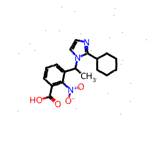 CC(c1cccc(C(=O)O)c1[N+](=O)[O-])n1ccnc1C1CCCCC1